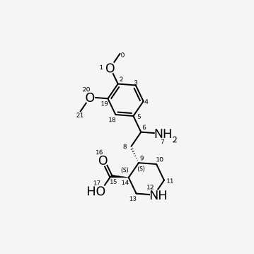 COc1ccc(C(N)C[C@@H]2CCNC[C@H]2C(=O)O)cc1OC